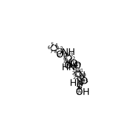 O=C(Cc1ccccc1)Nc1ccc(S(=O)(=O)NC(=O)c2ccc(C(=O)NCCO)nc2)cc1